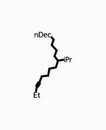 [CH2]CC#CCCCCC(CCCCCCCCCCCCC[CH2])C(C)C